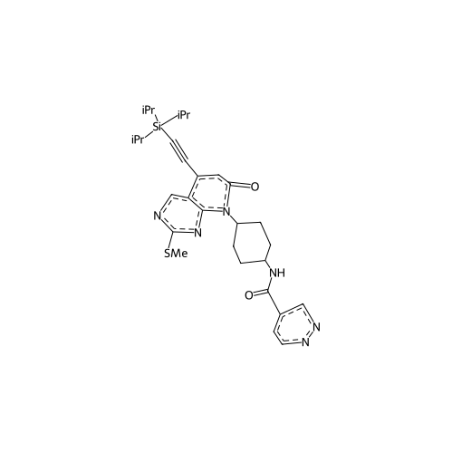 CSc1ncc2c(C#C[Si](C(C)C)(C(C)C)C(C)C)cc(=O)n(C3CCC(NC(=O)c4ccnnc4)CC3)c2n1